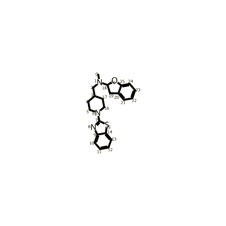 CN(CC1CCN(c2nc3ccccc3s2)CC1)C1Cc2ccccc2O1